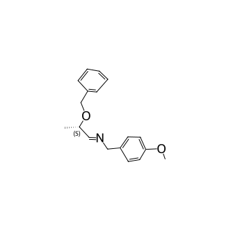 COc1ccc(CN=C[C@H](C)OCc2ccccc2)cc1